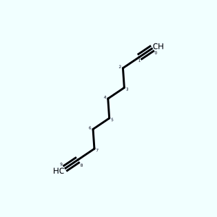 C#CCCCCCCC#C